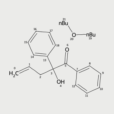 C=CCC(O)(C(=O)c1ccccc1)c1ccccc1.CCCCOCCCC